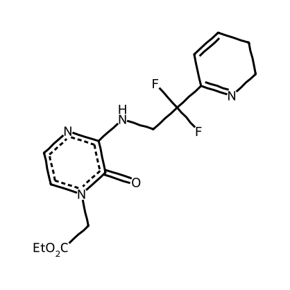 CCOC(=O)Cn1ccnc(NCC(F)(F)C2=NCCC=C2)c1=O